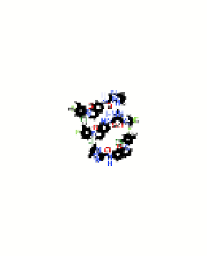 Cc1cc(C)n2ncc(C(=O)NC3CCC4(CCCN(c5cc(C)c(F)cc5Cl)C4=O)CC3)c2n1.Cc1cc(N2CCCC3(CCC(NC(=O)c4[nH]cnc4C(=O)N4CC(F)C4)CC3)C2=O)c(Cl)cc1F.Cc1cc(N2CCCC3(CCC(NC(=O)c4cnc5cccnn45)CC3)C2=O)c(Cl)cc1F